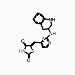 O=C1NC(=O)/C(=C/c2ccnc(NC3CNc4ccccc4C3)n2)S1